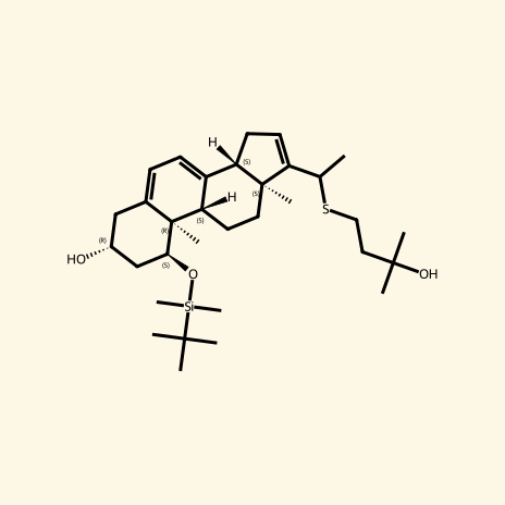 CC(SCCC(C)(C)O)C1=CC[C@H]2C3=CC=C4C[C@@H](O)C[C@H](O[Si](C)(C)C(C)(C)C)[C@]4(C)[C@H]3CC[C@]12C